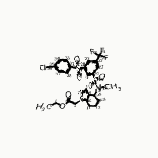 CCOC(=O)Cn1ncc2c1CCCC2N(C)S(=O)(=O)c1cc(C(F)(F)F)cc(S(=O)(=O)c2ccc(Cl)cc2)c1